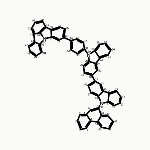 c1ccc2c(c1)cc(-n1c3ccccc3c3cc(-c4ccc5c(c4)c4ccccc4n5-c4ccc(-c5ccc6c7cccc8c9ccccc9n(c6c5)c87)cc4)ccc31)c1ccccc12